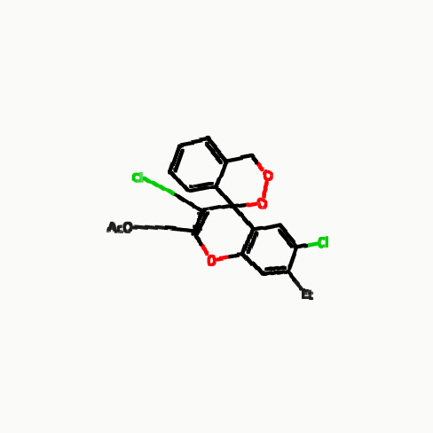 CCc1cc2c(cc1Cl)C1(OOCc3ccccc31)c1cc(Cl)c(OC(C)=O)cc1O2